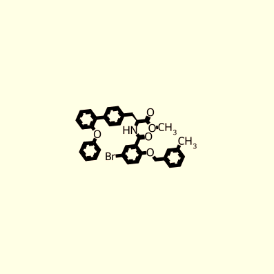 COC(=O)[C@H](Cc1ccc(-c2ccccc2Oc2ccccc2)cc1)NC(=O)c1cc(Br)ccc1OCc1cccc(C)c1